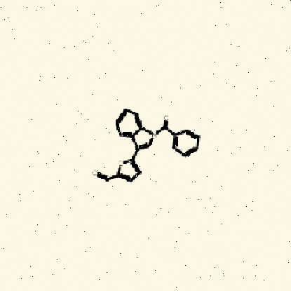 O=Cc1ccc(-c2cn(C(=O)c3ccccc3)c3ccccc23)o1